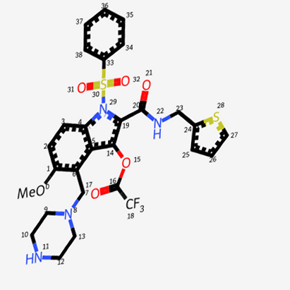 COc1ccc2c(c1CN1CCNCC1)c(OC(=O)C(F)(F)F)c(C(=O)NCc1cccs1)n2S(=O)(=O)c1ccccc1